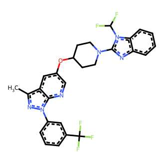 Cc1nn(-c2cccc(C(F)(F)F)c2)c2ncc(OC3CCN(c4nc5ccccc5n4C(F)F)CC3)cc12